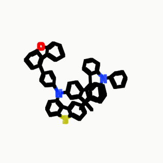 CC1(C)c2ccccc2-c2ccc(N(c3ccc(-c4cccc5oc6ccccc6c45)cc3)c3cccc4sc5ccc(-c6ccc7c(c6)c6ccccc6n7-c6ccccc6)cc5c34)cc21